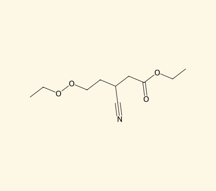 CCOOCCC(C#N)CC(=O)OCC